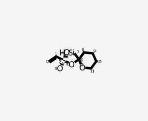 C=CS(=O)(=O)OC1([SiH3])CCCCO1